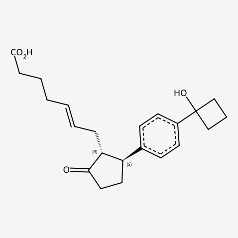 O=C(O)CCCC=CC[C@H]1C(=O)CC[C@@H]1c1ccc(C2(O)CCC2)cc1